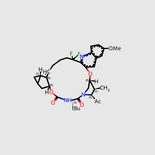 COc1ccc2nc3c(cc2c1)O[C@H]1CN(C(=O)[C@H](C(C)(C)C)NC(=O)O[C@@H]2CC4C[C@@H]4[C@H]2CCCCC3(F)F)[C@H](C(C)=O)[C@@H]1C